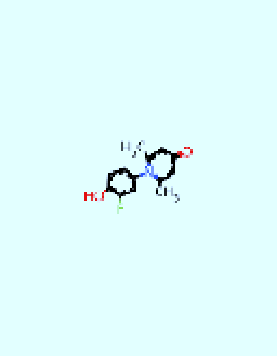 Cc1cc(=O)cc(C)n1-c1ccc(O)c(F)c1